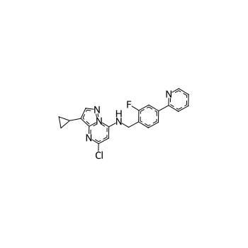 Fc1cc(-c2ccccn2)ccc1CNc1cc(Cl)nc2c(C3CC3)cnn12